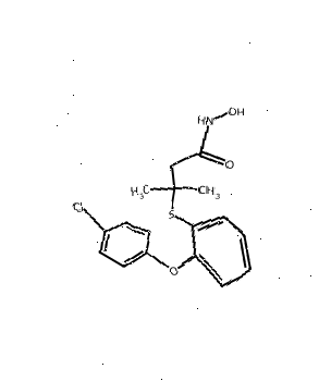 CC(C)(CC(=O)NO)Sc1ccccc1Oc1ccc(Cl)cc1